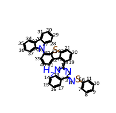 N/C(=N\C(=N/Sc1ccccc1)c1ccccc1)c1cccc2sc3c(-n4c5ccccc5c5ccccc54)cccc3c12